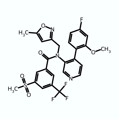 COc1cc(F)ccc1-c1ccncc1N(Cc1cc(C)on1)C(=O)c1cc(C(F)(F)F)cc(S(C)(=O)=O)c1